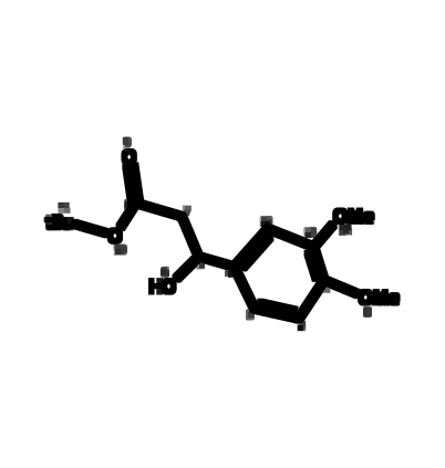 COc1ccc(C(O)CC(=O)OC(C)(C)C)cc1OC